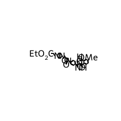 CCOC(=O)CCN1CCN(CC2CN(c3ccc(C(=N)NC(=O)c4ccccc4C(=O)OC)cc3)C(=O)O2)CC1